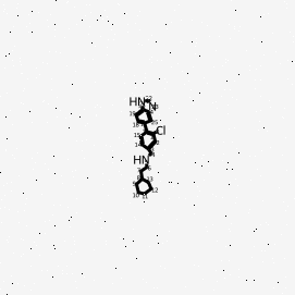 Clc1cc(CNCCC2CCCCC2)ccc1-c1ccc2[nH]cnc2c1